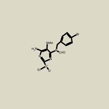 CC[S+]([O-])c1nc(N)c(NC)c(N(C=O)Cc2ccc(Br)cc2)n1